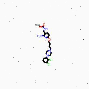 CC(C)(C)OC(=O)NCc1ccc(OCCCCN2CCN(c3cccc(Cl)c3Cl)CC2)nc1N